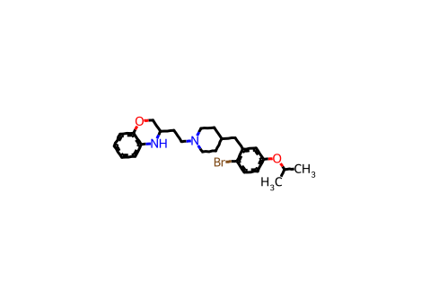 CC(C)Oc1ccc(Br)c(CC2CCN(CCC3COc4ccccc4N3)CC2)c1